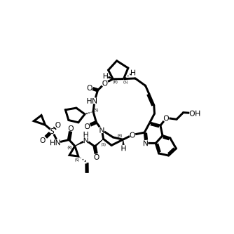 C=C[C@@H]1C[C@]1(NC(=O)[C@@H]1C[C@@H]2CN1C(=O)[C@H](C1CCCC1)NC(=O)O[C@@H]1CCC[C@H]1CCC=CCc1c(nc3ccccc3c1OCCO)O2)C(=O)NS(=O)(=O)C1CC1